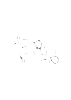 COC(=O)C1(Cc2ncnc(N3CCN(C(=O)O)C(CC#N)C3)c2N)CCCc2ccccc21